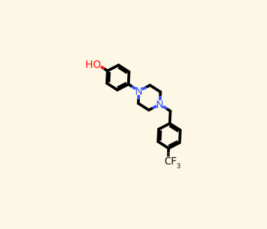 Oc1ccc(N2CCN(Cc3ccc(C(F)(F)F)cc3)CC2)cc1